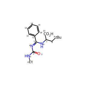 CCNC(=O)/N=C(\NC(CC(C)(C)C)C(=O)O)c1ccccc1